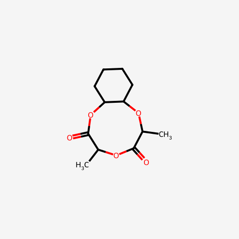 CC1OC(=O)C(C)OC2CCCCC2OC1=O